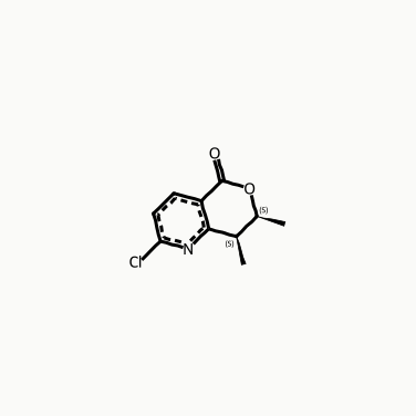 C[C@@H]1OC(=O)c2ccc(Cl)nc2[C@@H]1C